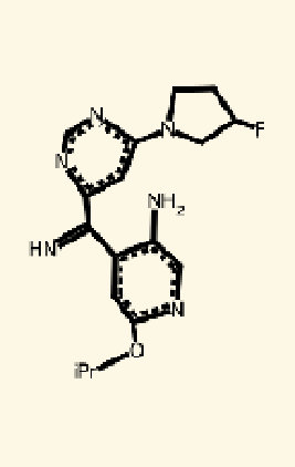 CC(C)Oc1cc(C(=N)c2cc(N3CCC(F)C3)ncn2)c(N)cn1